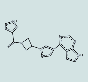 O=C(c1cc[nH]n1)N1CC(n2cc(-c3ncnc4[nH]ccc34)cn2)C1